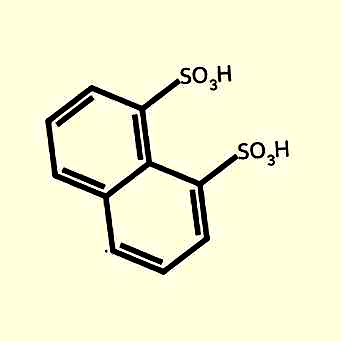 O=S(=O)(O)c1cc[c]c2cccc(S(=O)(=O)O)c12